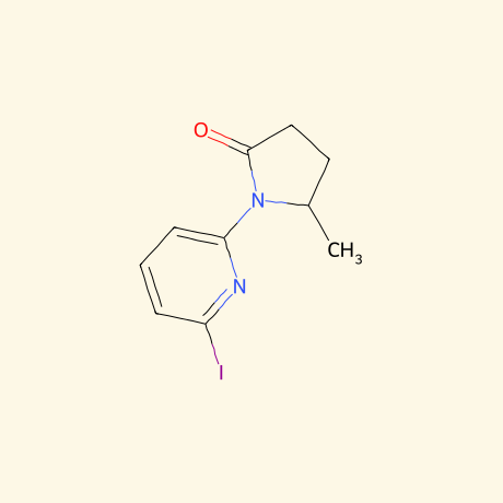 CC1CCC(=O)N1c1cccc(I)n1